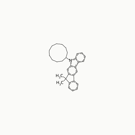 CC1(C)c2ccccc2-c2cc3c4ccccc4n(C4CCCCCCCCCC4)c3cc21